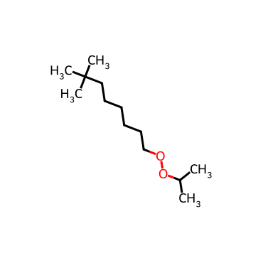 CC(C)OOCCCCCCC(C)(C)C